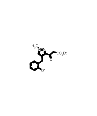 CCOC(=O)CC(=O)c1nn(C)cc1Cc1ccccc1Br